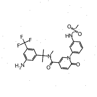 CN(C(=O)c1ccc(=O)n(-c2cccc(NS(C)(=O)=O)c2)c1)C(C)(C)c1cc(N)cc(C(F)(F)F)c1